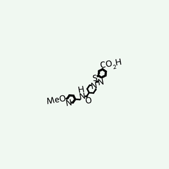 COc1ccc(CNC(=O)C2CCN(c3nc4ccc(C(=O)O)cc4s3)CC2)cn1